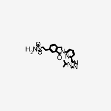 CC(C)n1cnnc1-c1cccc(N2Cc3ccc(CCS(N)(=O)=O)cc3C2=O)n1